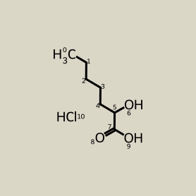 CCCCCC(O)C(=O)O.Cl